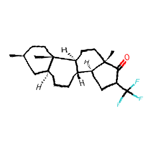 C[C@H]1CC[C@@]2(C)[C@@H](CC[C@@H]3[C@@H]2CC[C@]2(C)C(=O)C(C(F)(F)F)C[C@@H]32)C1